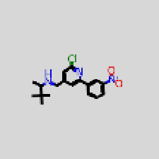 CC(NCc1cc(Cl)nc(-c2cccc([N+](=O)[O-])c2)c1)C(C)(C)C